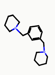 c1cc(CN2CCCCC2)cc(CN2CCCCC2)c1